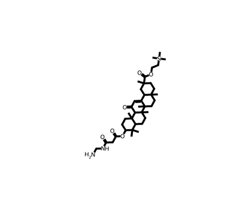 CC1(C(=O)OCC[Si](C)(C)C)CCC2(C)CCC3(C)C(=CC(=O)C4C5(C)CCC(OC(=O)CC(=O)NCN)C(C)(C)C5CCC43C)C2C1